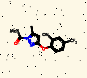 CNC(=O)n1nc(Oc2ccc(C(F)(F)F)cc2N=O)cc1C